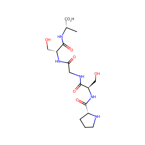 C[C@H](NC(=O)[C@@H](CO)NC(=O)CNC(=O)[C@@H](CO)NC(=O)[C@H]1CCCN1)C(=O)O